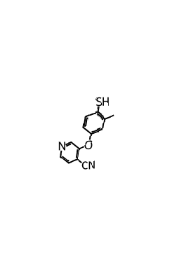 Cc1cc(Oc2cnccc2C#N)ccc1S